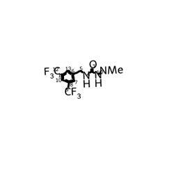 CNNC(=O)NCc1cc(C(F)(F)F)cc(C(F)(F)F)c1